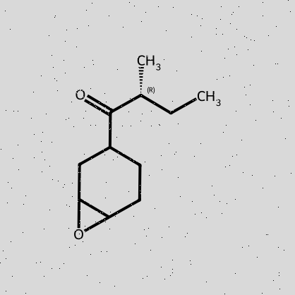 CC[C@@H](C)C(=O)C1CCC2OC2C1